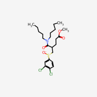 CCCCCN(CCCCC)C(=O)C(CCC(=O)OC)C[S+]([O-])c1ccc(Cl)c(Cl)c1